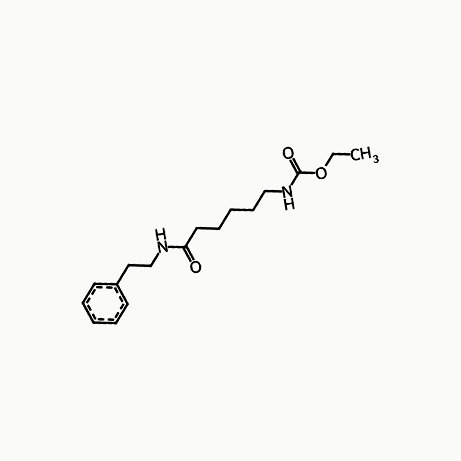 CCOC(=O)NCCCCCC(=O)NCCc1ccccc1